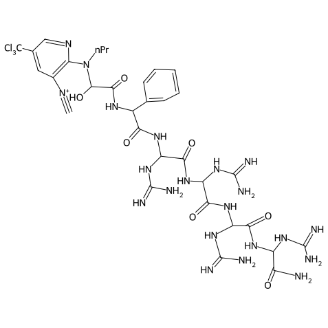 C#[N+]c1cc(C(Cl)(Cl)Cl)cnc1N(CCC)C(O)C(=O)NC(C(=O)NC(NC(=N)N)C(=O)NC(NC(=N)N)C(=O)NC(NC(=N)N)C(=O)NC(NC(=N)N)C(N)=O)c1ccccc1